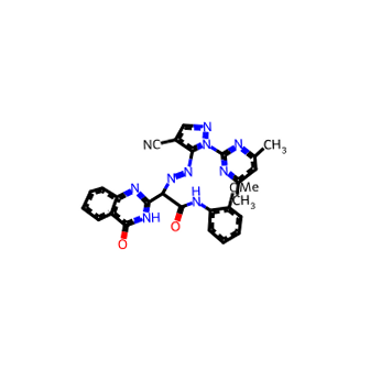 COc1ccccc1NC(=O)C(N=Nc1c(C#N)cnn1-c1nc(C)cc(C)n1)c1nc2ccccc2c(=O)[nH]1